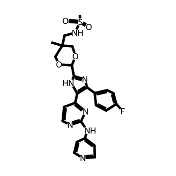 CC1(CNS(C)(=O)=O)COC(c2nc(-c3ccc(F)cc3)c(-c3ccnc(Nc4ccncc4)n3)[nH]2)OC1